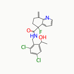 C=C1CCC(F)(C(=O)NCc2c(Cl)cc(Cl)cc2C(C)O)c2cccnc21